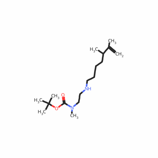 C=C(C)C(C)CCCCNCCN(C)C(=O)OC(C)(C)C